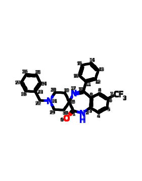 O=C1Nc2ccc(C(F)(F)F)cc2C(c2ccccc2)=NC12CCN(Cc1ccccc1)CC2